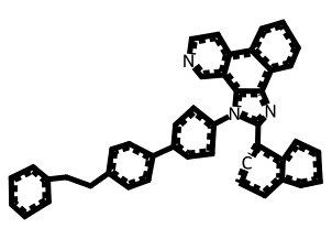 c1ccc(CCc2ccc(-c3ccc(-n4c(-c5cccc6ccccc56)nc5c6ccccc6c6ccncc6c54)cc3)cc2)cc1